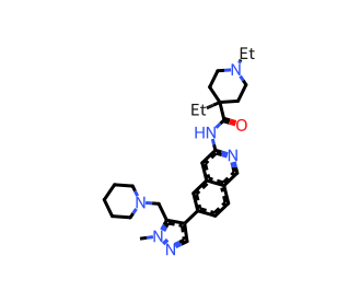 CCN1CCC(CC)(C(=O)Nc2cc3cc(-c4cnn(C)c4CN4CCCCC4)ccc3cn2)CC1